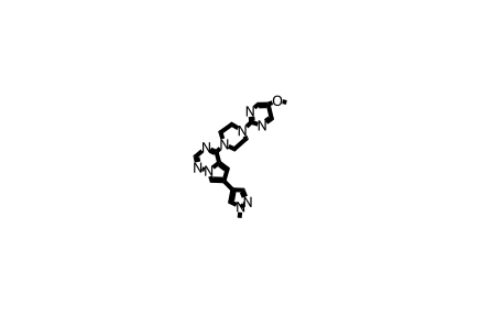 COc1cnc(N2CCN(c3ncnn4cc(-c5cnn(C)c5)cc34)CC2)nc1